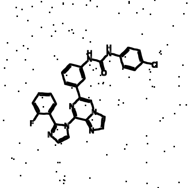 O=C(Nc1ccc(Cl)cc1)Nc1cccc(-c2cn3ccnc3c(-n3ccnc3-c3ccccc3F)n2)c1